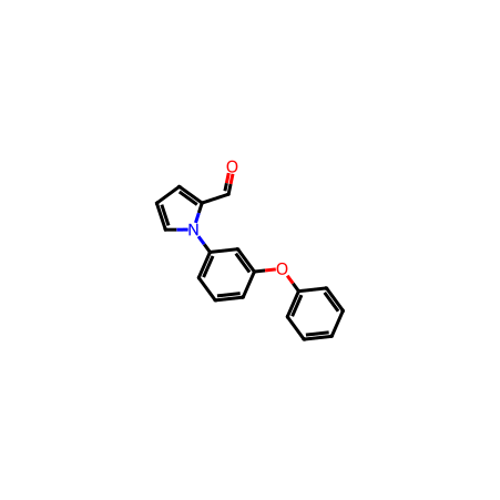 O=Cc1cccn1-c1cccc(Oc2ccccc2)c1